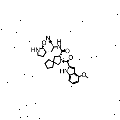 COc1cccc2[nH]c(C(=O)N3CC4(CCCC4)C[C@H]3C(=O)N[C@H](C#N)C[C@@H]3CCNC3=O)cc12